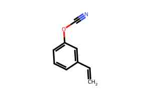 C=Cc1cccc(OC#N)c1